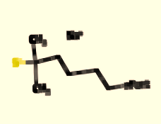 CCCCCCCCCC(C)(C)[S-].[Na+]